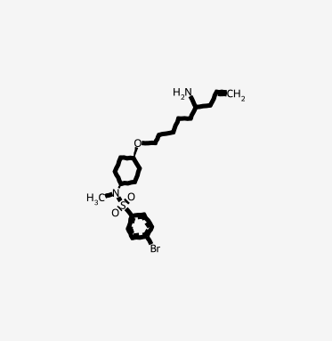 C=CCC(N)CCCCCO[C@H]1CC[C@H](N(C)S(=O)(=O)c2ccc(Br)cc2)CC1